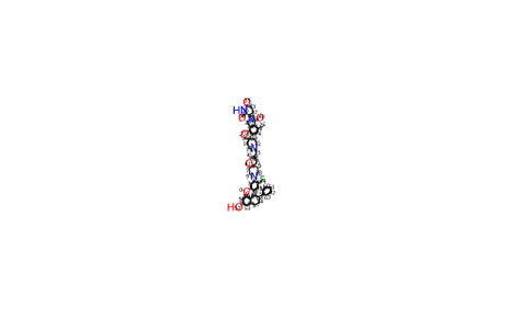 COc1cc(N2CCC3(CC2)C[C@H](CN2CCC4(CC2)COc2c4cc(C)c4c2CN([C@H]2CCC(=O)NC2=O)C4=O)CO3)c(F)cc1[C@@H]1c2ccc(O)cc2CC[C@@H]1c1ccccc1